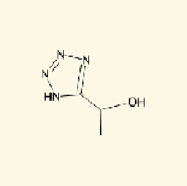 CC(O)c1nnn[nH]1